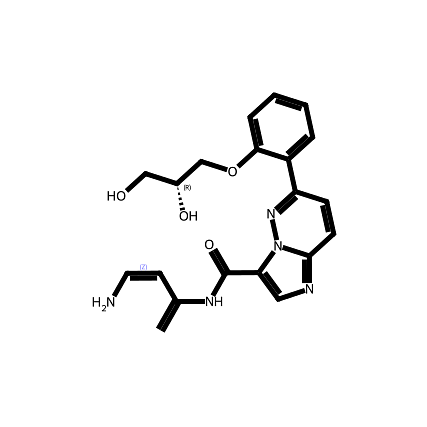 C=C(/C=C\N)NC(=O)c1cnc2ccc(-c3ccccc3OC[C@H](O)CO)nn12